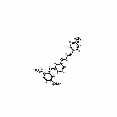 COc1ccc(C(=O)O)c(Oc2cccc(OC/C=C/c3ccc(C(F)(F)F)cc3)c2)c1